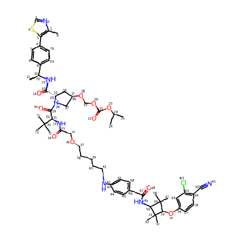 Cc1ncsc1-c1ccc([C@H](C)NC(=O)[C@@H]2C[C@@H](OCOC(=O)OC(C)C)CN2C(=O)[C@@H](NC(=O)COCCCCCNc2ccc(C(=O)NC3C(C)(C)C(Oc4ccc(C#N)c(Cl)c4)C3(C)C)cc2)C(C)(C)C)cc1